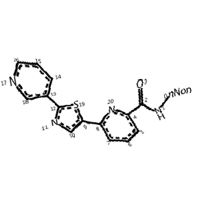 CCCCCCCCCNC(=O)c1cccc(-c2cnc(-c3cccnc3)s2)n1